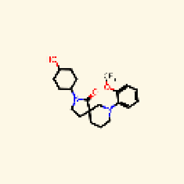 O=C1N(C2CCC(O)CC2)CCC12CCCN(c1ccccc1OC(F)(F)F)C2